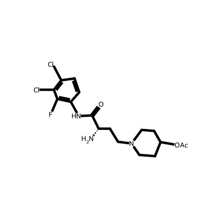 CC(=O)OC1CCN(CC[C@H](N)C(=O)Nc2ccc(Cl)c(Cl)c2F)CC1